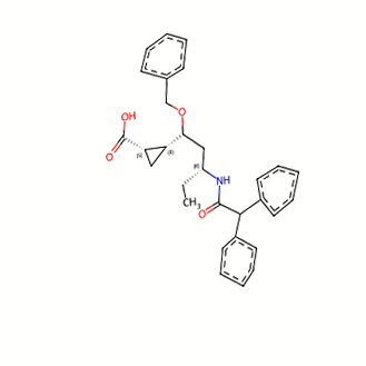 CC[C@H](CC(OCc1ccccc1)[C@@H]1C[C@@H]1C(=O)O)NC(=O)C(c1ccccc1)c1ccccc1